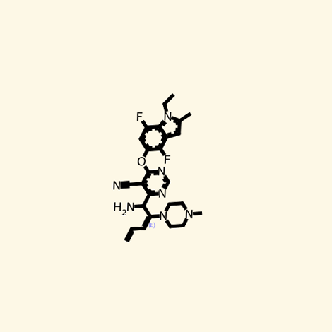 C=C/C=C(\C(N)c1ncnc(Oc2cc(F)c3c(cc(C)n3CC)c2F)c1C#N)N1CCN(C)CC1